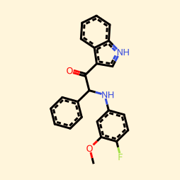 COc1cc(NC(C(=O)c2c[nH]c3ccccc23)c2ccccc2)ccc1F